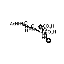 CC(=O)NCCC(=O)NCCC(=O)NCCCC[C@H](NC(CCc1ccccc1)C(=O)O)C(=O)N1CCC[C@H]1C(=O)O